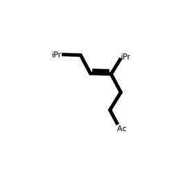 CC(=O)CCC(=CCC(C)C)C(C)C